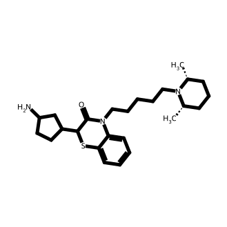 C[C@@H]1CCC[C@H](C)N1CCCCCN1C(=O)C(C2CCC(N)C2)Sc2ccccc21